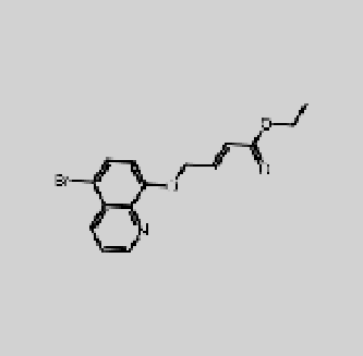 CCOC(=O)/C=C/COc1ccc(Br)c2cccnc12